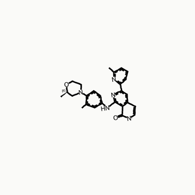 Cc1cccc(-c2cc3c(c(Nc4ccc(N5CCO[C@H](C)C5)c(C)c4)n2)C(=O)[N]C=C3)n1